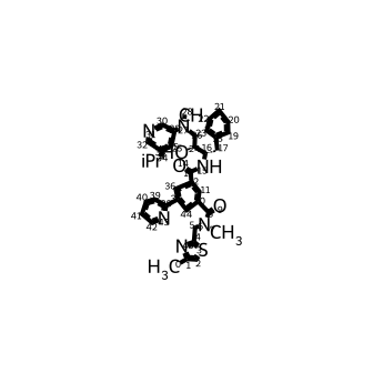 Cc1csc(CN(C)C(=O)c2cc(C(=O)N[C@@H](Cc3ccccc3)[C@H](O)CN(C)c3cncc(C(C)C)c3)cc(-c3ccccn3)c2)n1